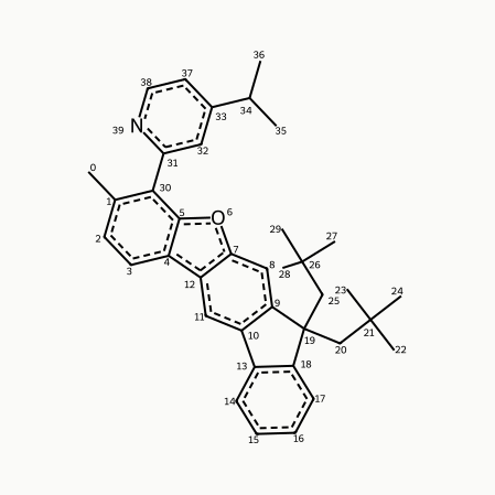 Cc1ccc2c(oc3cc4c(cc32)-c2ccccc2C4(CC(C)(C)C)CC(C)(C)C)c1-c1cc(C(C)C)ccn1